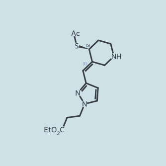 CCOC(=O)CCn1ccc(/C=C2\CNCC[C@@H]2SC(C)=O)n1